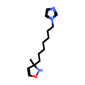 CC1(CCCCCCCn2ccnc2)C=CON1